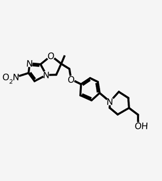 CC1(COc2ccc(N3CCC(CO)CC3)cc2)Cn2cc([N+](=O)[O-])nc2O1